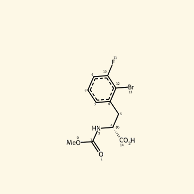 COC(=O)N[C@H](Cc1cccc(F)c1Br)C(=O)O